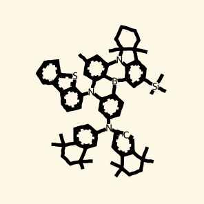 Cc1cc2c3c(c1)N1c4c(cc([Si](C)(C)C)cc4C4(C)CCCCC14C)B3c1ccc(N(c3ccc4c(c3)C(C)(C)CCC4(C)C)c3ccc4c(c3)C(C)(C)CCC4(C)C)cc1N2c1cccc2c1sc1ccccc12